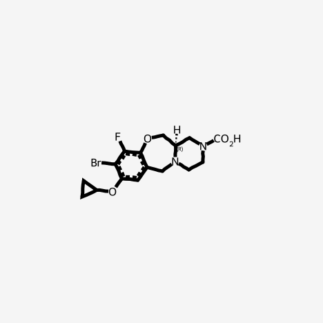 O=C(O)N1CCN2Cc3cc(OC4CC4)c(Br)c(F)c3OC[C@H]2C1